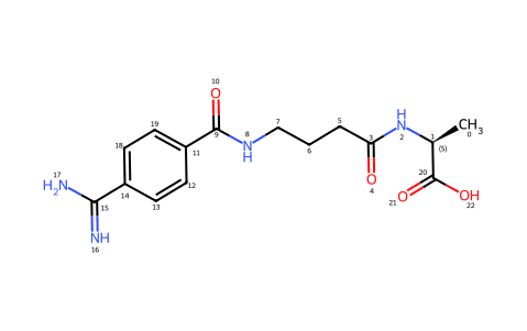 C[C@H](NC(=O)CCCNC(=O)c1ccc(C(=N)N)cc1)C(=O)O